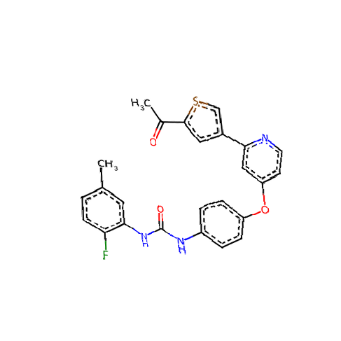 CC(=O)c1cc(-c2cc(Oc3ccc(NC(=O)Nc4cc(C)ccc4F)cc3)ccn2)cs1